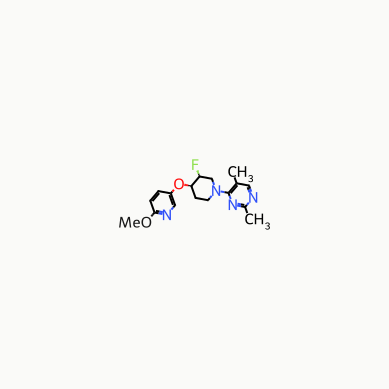 COc1ccc(O[C@@H]2CCN(c3nc(C)ncc3C)C[C@@H]2F)cn1